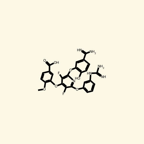 COc1ccc(C(=O)O)cc1Oc1c(F)c(Oc2cccc(NC(=N)N)c2)nc(Oc2cc(C(=N)N)ccc2O)c1F